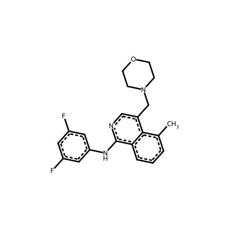 Cc1cccc2c(Nc3cc(F)cc(F)c3)ncc(CN3CCOCC3)c12